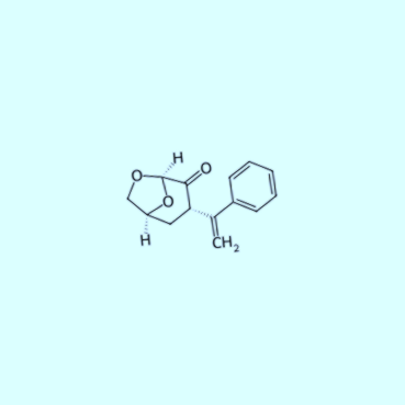 C=C(c1ccccc1)[C@@H]1C[C@H]2CO[C@H](O2)C1=O